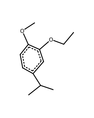 CCOc1cc(C(C)C)ccc1OC